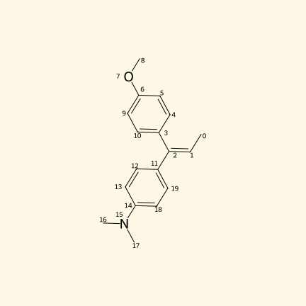 C/C=C(\c1ccc(OC)cc1)c1ccc(N(C)C)cc1